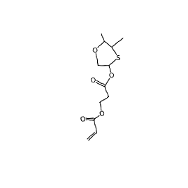 C=CC(=O)OCCC(=O)OC1COC(C)C(C)S1